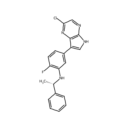 C[C@H](Nc1cc(-c2c[nH]c3ncc(Cl)nc23)ccc1F)c1ccccc1